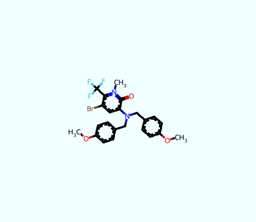 COc1ccc(CN(Cc2ccc(OC)cc2)c2cc(Br)c(C(F)(F)F)n(C)c2=O)cc1